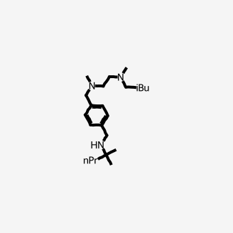 CCCC(C)(C)NCc1ccc(CN(C)CCN(C)CC(C)CC)cc1